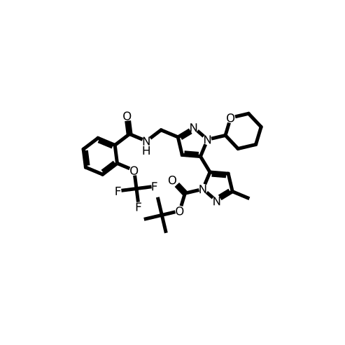 Cc1cc(-c2cc(CNC(=O)c3ccccc3OC(F)(F)F)nn2C2CCCCO2)n(C(=O)OC(C)(C)C)n1